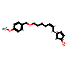 COc1ccc(COCCCC/C=C\C[C@H]2C=CC(O)C2)cc1